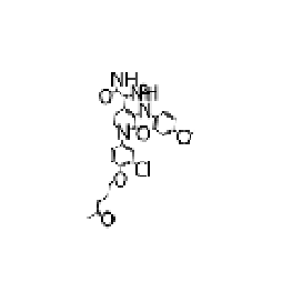 COc1ccc(NC2=C(C(=N)C(N)=O)CCN(c3ccc(OCCCC(C)=O)c(Cl)c3)C2=O)cc1